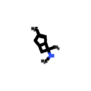 CNC1(C)CC2CC(C)=CC21